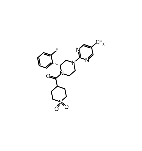 O=C(C1CCS(=O)(=O)CC1)N1CCN(c2ncc(C(F)(F)F)cn2)C[C@H]1c1ccccc1F